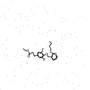 CCCCSc1ncccc1COc1c(F)cc(CCC(=O)OCC)cc1F